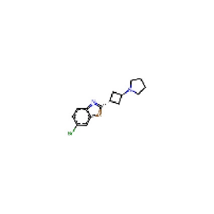 Brc1ccc2nc([C@H]3C[C@H](N4CCCC4)C3)sc2c1